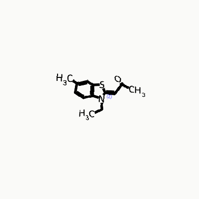 CCN1/C(=C/C(C)=O)Sc2cc(C)ccc21